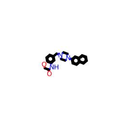 O=C1COc2ccc(CN3CCN(c4ccc5ccccc5c4)CC3)cc2N1